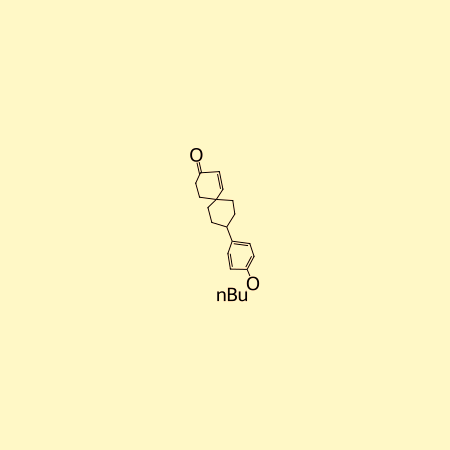 CCCCOc1ccc(C2CCC3(C=CC(=O)CC3)CC2)cc1